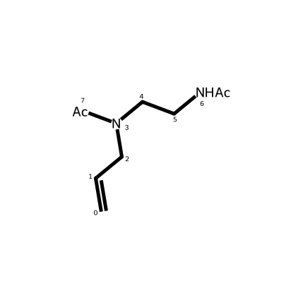 C=CCN(CCNC(C)=O)C(C)=O